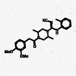 COc1ccc(CC(=O)N2CC(C)N(/C(=N\C#N)Nc3ccccc3C)CC2C)cc1OC